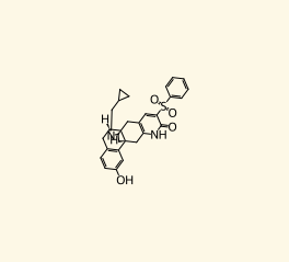 O=c1[nH]c2c(cc1S(=O)(=O)c1ccccc1)C[C@H]1[C@H]3Cc4ccc(O)cc4[C@@]1(CCN3CC1CC1)C2